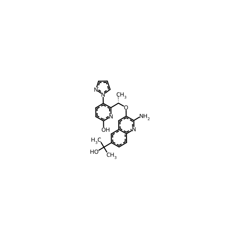 C[C@H](Oc1cc2cc(C(C)(C)O)ccc2nc1N)c1nc(O)ccc1-n1cccn1